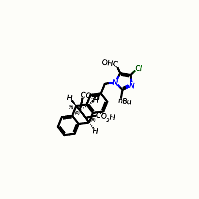 CCCCc1nc(Cl)c(C=O)n1Cc1ccc2c(c1)[C@H]1c3ccccc3[C@H]2C(C(=O)O)[C@@H]1C(=O)O